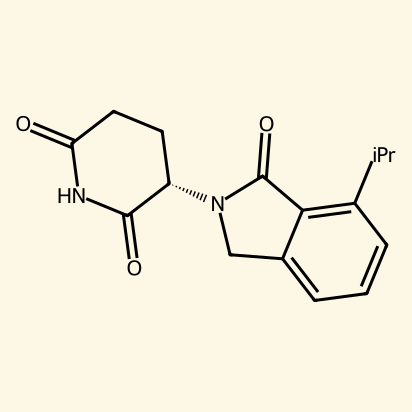 CC(C)c1cccc2c1C(=O)N([C@H]1CCC(=O)NC1=O)C2